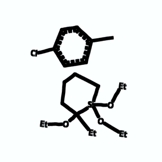 CCOC1(CC)CCCC[Si]1(OCC)OCC.Cc1ccc(Cl)cc1